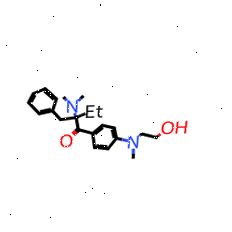 CCC(Cc1ccccc1)(C(=O)c1ccc(N(C)CCO)cc1)N(C)C